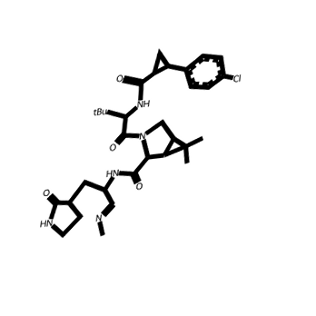 C/N=C/C(CC1CCNC1=O)NC(=O)C1C2C(CN1C(=O)C(NC(=O)C1CC1c1ccc(Cl)cc1)C(C)(C)C)C2(C)C